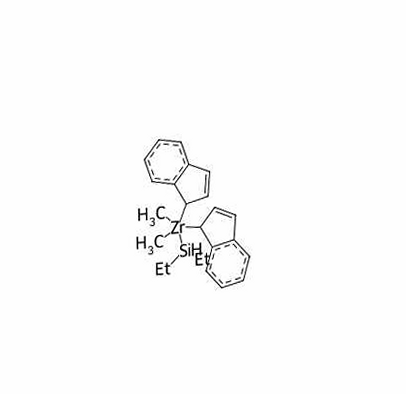 CC[SiH](CC)[Zr]([CH3])([CH3])([CH]1C=Cc2ccccc21)[CH]1C=Cc2ccccc21